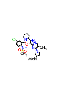 CNC1CCN(c2nc3cc([C@@H]4CCCCN4C(=O)c4cc(Cl)ccc4NS(C)(=O)=O)nn3cc2C)C1